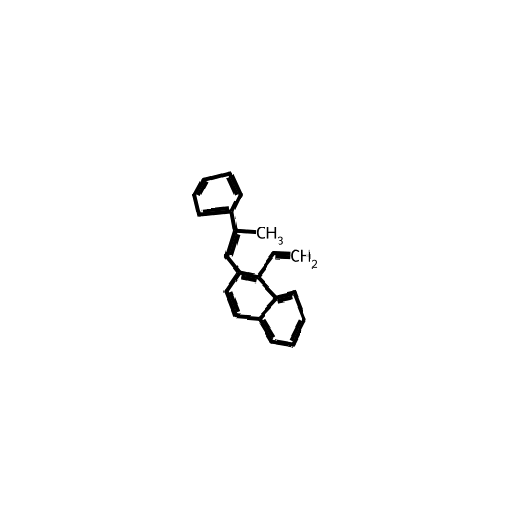 C=Cc1c(C=C(C)c2ccccc2)ccc2ccccc12